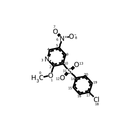 COc1ncc([N+](=O)[O-])cc1S(=O)(=O)c1ccc(Cl)cc1